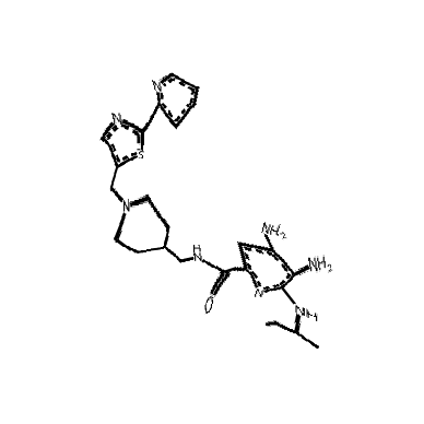 CC(C)Nc1nc(C(=O)NCC2CCN(Cc3cnc(-c4ccccn4)s3)CC2)cc(N)c1N